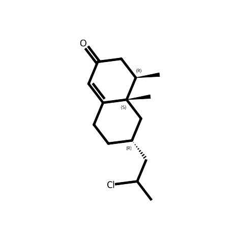 CC(Cl)C[C@@H]1CCC2=CC(=O)C[C@@H](C)[C@]2(C)C1